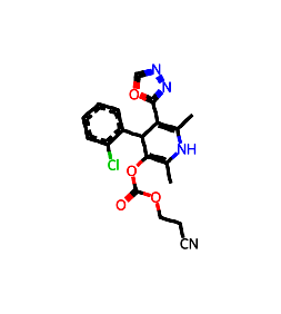 CC1=C(OC(=O)OCCC#N)C(c2ccccc2Cl)C(c2nnco2)=C(C)N1